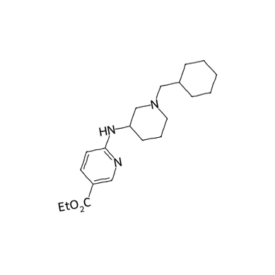 CCOC(=O)c1ccc(NC2CCCN(CC3CCCCC3)C2)nc1